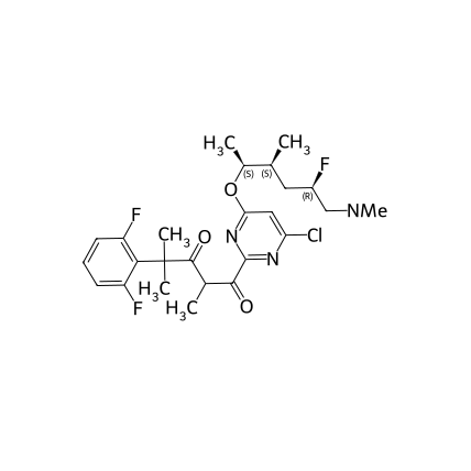 CNC[C@H](F)C[C@H](C)[C@H](C)Oc1cc(Cl)nc(C(=O)C(C)C(=O)C(C)(C)c2c(F)cccc2F)n1